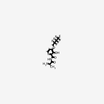 C[C@H](N)C(=O)NC(=O)c1nccc(OCC(F)(F)C(F)(F)C(F)(F)F)c1O